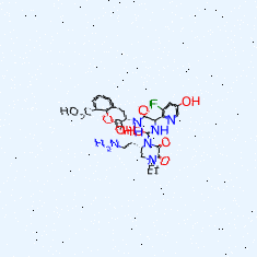 CCN1C[C@H](CCN)N(C(O)NC(C(=O)N[C@H]2Cc3cccc(C(=O)O)c3OB2O)c2ncc(O)cc2F)C(=O)C1=O